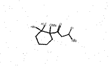 CCCCC(CC)CC(=O)C1(OC)CCCCC1(C)CCCC